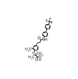 Cc1cc(CCC(=O)Nc2ccc(-c3ccc(C(F)(F)F)cc3)cc2)ccc1OC(C)(C)C(=O)O